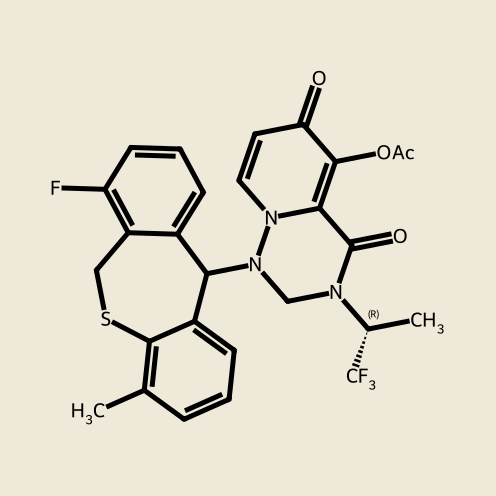 CC(=O)Oc1c2n(ccc1=O)N(C1c3cccc(F)c3CSc3c(C)cccc31)CN([C@H](C)C(F)(F)F)C2=O